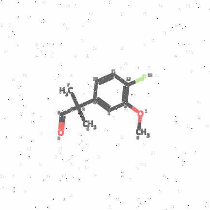 COc1cc(C(C)(C)C=O)ccc1F